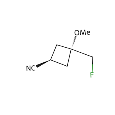 CO[C@]1(CF)C[C@@H](C#N)C1